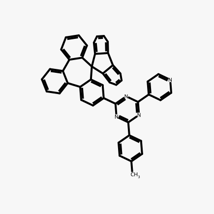 Cc1ccc(-c2nc(-c3ccncc3)nc(-c3ccc4c(c3)C3(c5ccccc5-c5ccccc5-4)c4ccccc4-c4ccccc43)n2)cc1